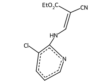 CCOC(=O)/C(C#N)=C\Nc1ncccc1Cl